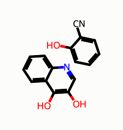 N#Cc1ccccc1O.Oc1cnc2ccccc2c1O